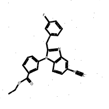 [C-]#[N+]c1ccc2c(c1)nc(Cc1cccc(F)c1)n2-c1cccc(C(=O)OCC)c1